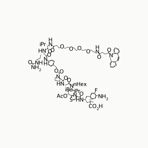 CCCCCCN(C(=O)[C@@H](NC(=O)[C@@]1(C)CCCN1C(=O)OCc1ccc(NC(=O)[C@H](CCCNC(N)=O)NC(=O)[C@@H](NC(=O)CCOCCOCCOCCOCCNC(=O)CCC(=O)N2Cc3ccccc3C#Cc3ccccc32)C(C)C)cc1)[C@@H](C)CC)[C@H](C[C@@H](OC(C)=O)c1nc(C(=O)N[C@@H](Cc2ccc(N)c(F)c2)CC(C)(C)C(=O)O)cs1)C(C)C